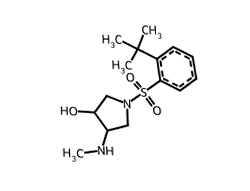 CNC1CN(S(=O)(=O)c2ccccc2C(C)(C)C)CC1O